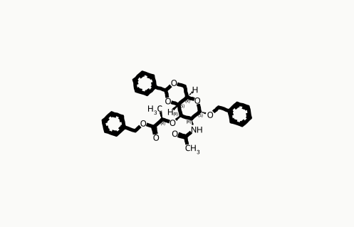 CC(=O)N[C@H]1[C@@H](OCc2ccccc2)O[C@@H]2COC(c3ccccc3)O[C@H]2[C@@H]1O[C@H](C)C(=O)OCc1ccccc1